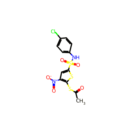 CC(=O)Sc1sc(S(=O)(=O)Nc2ccc(Cl)cc2)cc1[N+](=O)[O-]